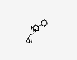 C#CCCn1cc(-c2ccccc2)cn1